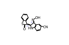 N#Cc1ccc2c(c1)C(=N\O)/C(=C1/C(=O)Sc3ccccc31)N2